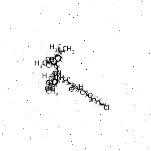 CCN(CC)c1ccc2c(/C=C/C=C3/N(CCCCCC(=O)NCCOCCOCCCCCCCl)c4ccc(S(=O)(=O)OC)cc4C3(C)C)cc(C(C)(C)C)[o+]c2c1